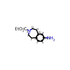 CCOC(=O)N1CCc2ccc(N)cc2CC1